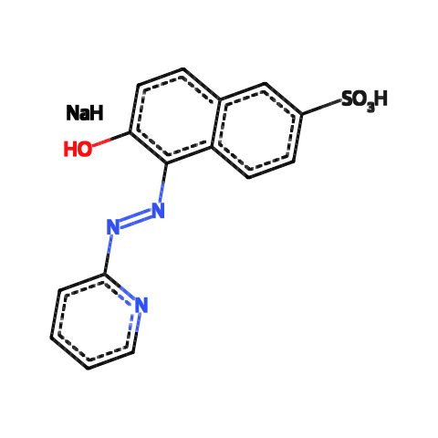 O=S(=O)(O)c1ccc2c(N=Nc3ccccn3)c(O)ccc2c1.[NaH]